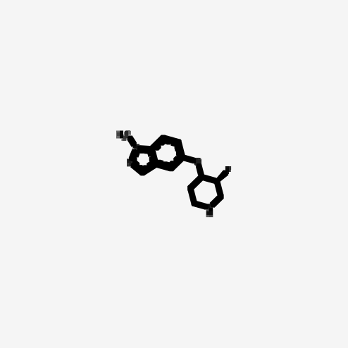 Cn1ncc2cc(OC3CCNC[C@@H]3F)ccc21